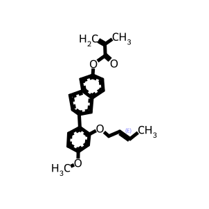 C=C(C)C(=O)Oc1ccc2cc(-c3ccc(OC)cc3OC/C=C/C)ccc2c1